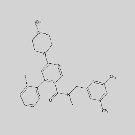 CCCCN1CCN(c2cc(-c3ccccc3C)c(C(=O)N(C)Cc3cc(C(F)(F)F)cc(C(F)(F)F)c3)cn2)CC1